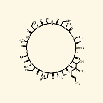 C/C=C/CC(C)C(O)C1C(=O)NC(CCC)C(=O)N(C)CC(=O)N(C)C(CC(C)C)C(=O)NC(C(C)C)C(=O)N(C)C(CC(C)C)C(=O)NC(C)C(=O)NC(C)C(=O)N(C)C(CC(C)C)C(=O)N(C)C(CC(C)C)C(=O)N(C)C(C(C)C)C(=O)N1C